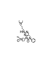 C=CC(=O)N1CCC(N2C(=O)N(c3ccccc3)Cc3cnc(NCCCCN(CC)CC)nc32)C1